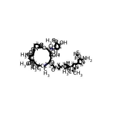 CO[C@H]1C[C@@H](C)C/C(C)=C/[C@@H](CCC(=O)N2CC(N3C[C@@H]4[C@H](C3)[C@H]4c3cc(-c4cnc(N)c(OC(F)(F)F)c4)nn3C(C)C)C2)C(=O)C[C@H](O)[C@@H](C)[C@@H](/C(C)=C/[C@@H]2CC[C@@H](O)[C@H](OC)C2)COC(=O)[C@@H]2CCCCN2C(=O)C(=O)[C@]2(O)O[C@H]1[C@@H](OC)C[C@H]2C